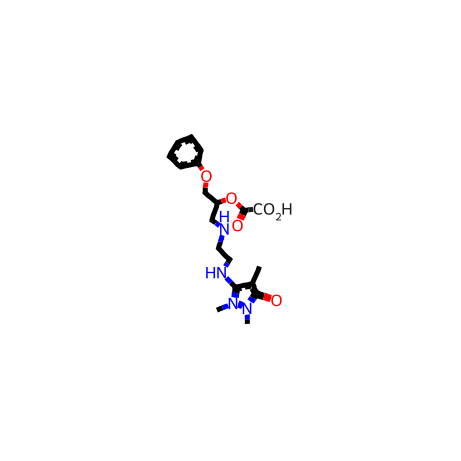 Cc1c(NCCNCC(COc2ccccc2)OC(=O)C(=O)O)n(C)n(C)c1=O